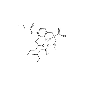 CCCC(=O)Oc1ccc(CC(N)(C[C@H](C)OC(=O)CC(C)CC)C(=O)O)cc1OC(=O)CCC